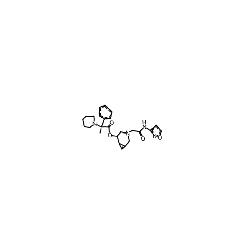 C[C@](C(=O)O[C@H]1CN(CC(=O)Nc2ccon2)CC2=CC21)(c1ccccc1)N1CCCCC1